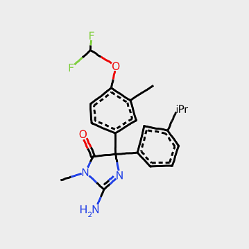 Cc1cc(C2(c3cccc(C(C)C)c3)N=C(N)N(C)C2=O)ccc1OC(F)F